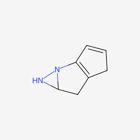 C1=CC2=C(C1)CC1NN21